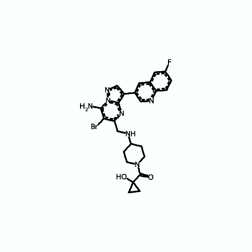 Nc1c(Br)c(CNC2CCN(C(=O)C3(O)CC3)CC2)nc2c(-c3cnc4ccc(F)cc4c3)cnn12